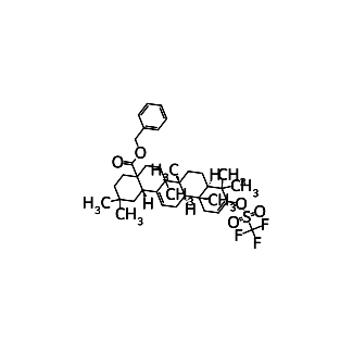 CC1(C)CCC2(C(=O)OCc3ccccc3)CCC3(C)C(=CC[C@@H]4[C@@]5(C)CC=C(OS(=O)(=O)C(F)(F)F)C(C)(C)[C@@H]5CC[C@]43C)[C@@H]2C1